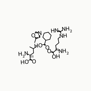 CC(C)C[C@H](N)C(=O)O.Cc1cnco1.N=C(N)NCCC[C@H](N)C(=O)O.O=C(O)C1CCCCC1